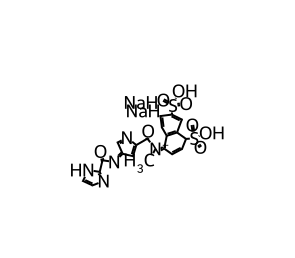 C[N+](C(=O)C1=CC(=NC(=O)c2ncc[nH]2)C=N1)=C1C=CC(S(=O)(=O)O)c2cc(S(=O)(=O)O)ccc21.[NaH].[NaH]